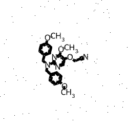 COc1ccc(CN(Cc2ccc(OC)cc2)c2ncc(OCC#N)c(OC)n2)cc1